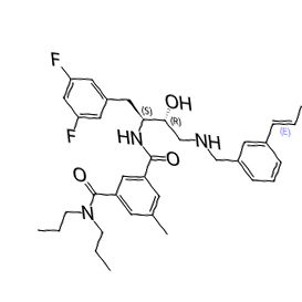 C/C=C/c1cccc(CNC[C@@H](O)[C@H](Cc2cc(F)cc(F)c2)NC(=O)c2cc(C)cc(C(=O)N(CCC)CCC)c2)c1